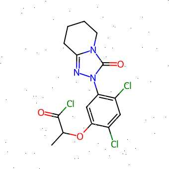 CC(Oc1cc(-n2nc3n(c2=O)CCCC3)c(Cl)cc1Cl)C(=O)Cl